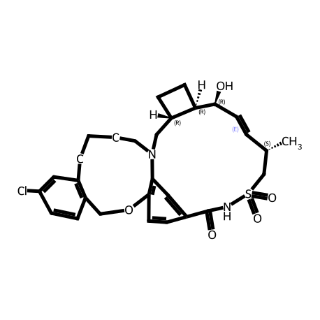 C[C@H]1/C=C/[C@H](O)[C@@H]2CC[C@H]2CN2CCCCc3cc(Cl)ccc3COc3ccc(cc32)C(=O)NS(=O)(=O)C1